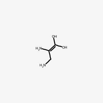 NCC(N)=C(O)O